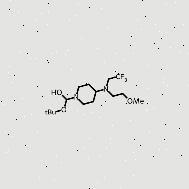 COCCN(CC(F)(F)F)C1CCN(C(O)OC(C)(C)C)CC1